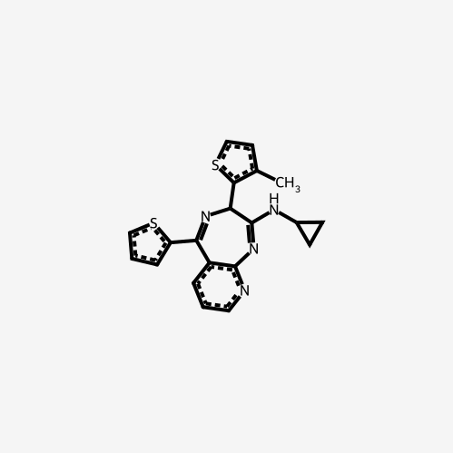 Cc1ccsc1C1N=C(c2cccs2)c2cccnc2N=C1NC1CC1